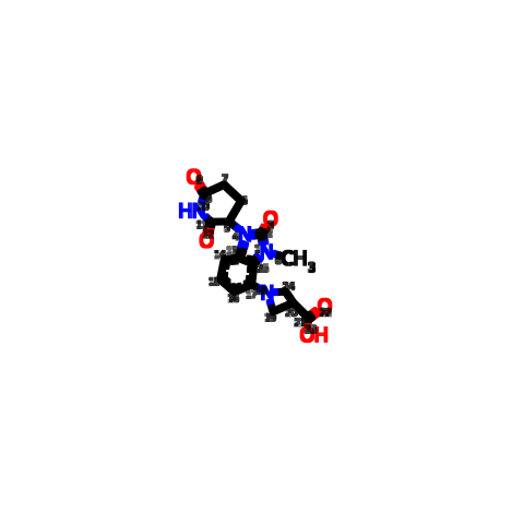 Cn1c(=O)n(C2CCC(=O)NC2=O)c2cccc(N3CC(C(=O)O)C3)c21